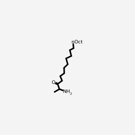 CCCCCCCCCCCCCCCCCC(=O)C(C)N